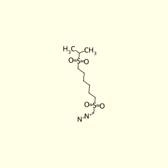 CC(C)S(=O)(=O)CCCCCCS(=O)(=O)C=[N+]=[N-]